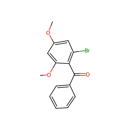 COc1cc(Br)c(C(=O)c2ccccc2)c(OC)c1